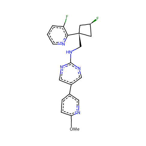 COc1ccc(-c2cnc(NC[C@]3(c4ncccc4F)C[C@H](F)C3)nc2)cn1